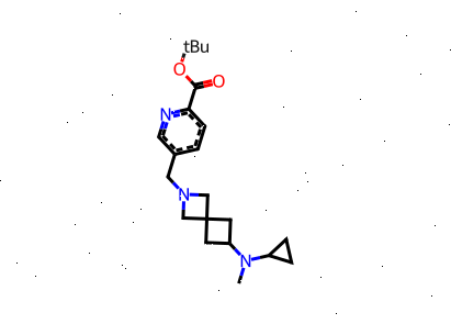 CN(C1CC1)C1CC2(C1)CN(Cc1ccc(C(=O)OC(C)(C)C)nc1)C2